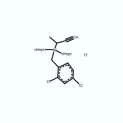 C#CC(I)[N+](CCCCCCC)(CCCCCCC)Cc1ccc(Cl)cc1Cl.[Cl-]